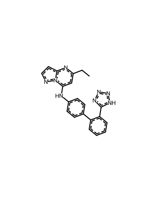 CCc1cc(Nc2ccc(-c3ccccc3-c3nnn[nH]3)cc2)n2nccc2n1